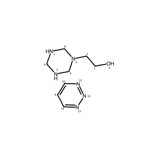 OCCN1CNCNC1.c1cnnnc1